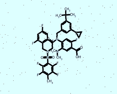 Cc1c(F)c(F)c(S(=O)(=O)N(CC(=O)N(Cc2cc(C3CC3)cc(C(C)(C)C)c2)c2cc(F)c(C(=O)O)cc2N(C)C)Cc2c(F)cc(F)cc2F)c(F)c1F